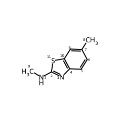 CNc1nc2ccc(C)cc2s1